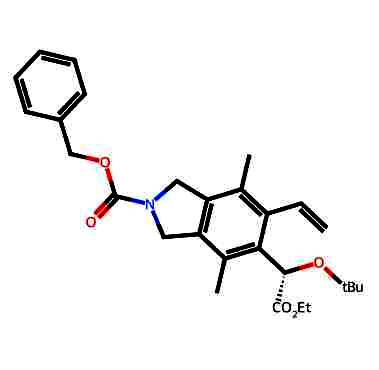 C=Cc1c(C)c2c(c(C)c1[C@H](OC(C)(C)C)C(=O)OCC)CN(C(=O)OCc1ccccc1)C2